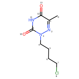 Cc1nn(CCCCCl)c(=O)[nH]c1=O